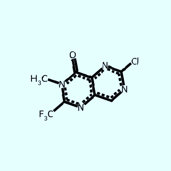 Cn1c(C(F)(F)F)nc2cnc(Cl)nc2c1=O